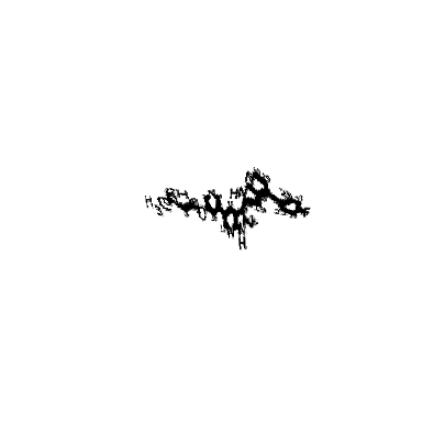 CN(C)CCOc1cncc(-c2cnc3[nH]nc(-c4cc5c(-c6ccc(F)cc6)ccnc5[nH]4)c3c2)c1